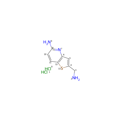 Cl.Cl.NCc1cc2nc(N)ccc2s1